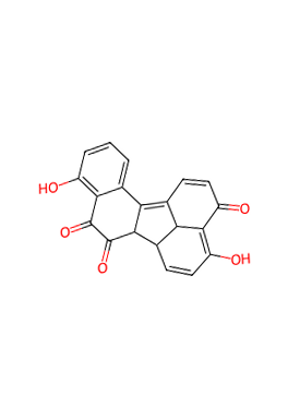 O=C1C=CC2=C3c4cccc(O)c4C(=O)C(=O)C3C3C=CC(O)=C1C23